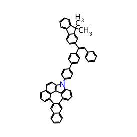 CC1(C)c2ccccc2-c2ccc(/C(=C/c3ccccc3)c3ccc(-c4ccc(-n5c6cccc7c6c6c8c(cccc8ccc65)-c5cc6ccccc6cc5-7)cc4)cc3)cc21